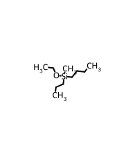 CCCC[Si](C)(CCC)OCC